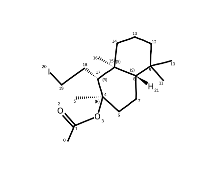 CC(=O)O[C@]1(C)CC[C@H]2C(C)(C)CCC[C@]2(C)[C@H]1CCI